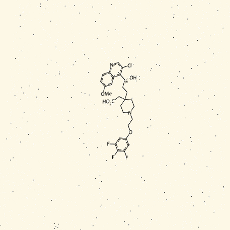 COc1ccc2ncc(Cl)c([C@H](O)CCC3(CC(=O)O)CCN(CCOc4cc(F)c(F)c(F)c4)CC3)c2c1